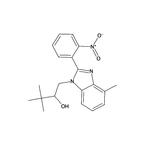 Cc1cccc2c1nc(-c1ccccc1[N+](=O)[O-])n2CC(O)C(C)(C)C